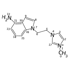 C[n+]1ccn(CCn2ccc3c(N)cccc32)c1